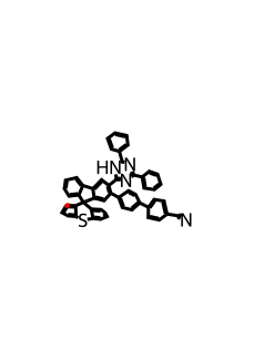 N#Cc1ccc(-c2ccc(-c3cc4c(cc3C3=NC(c5ccccc5)=NC(c5ccccc5)N3)-c3ccccc3C43c4ccccc4Sc4ccccc43)cc2)cc1